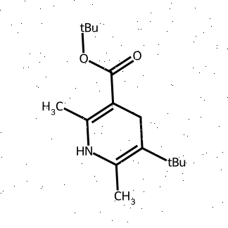 CC1=C(C(=O)OC(C)(C)C)CC(C(C)(C)C)=C(C)N1